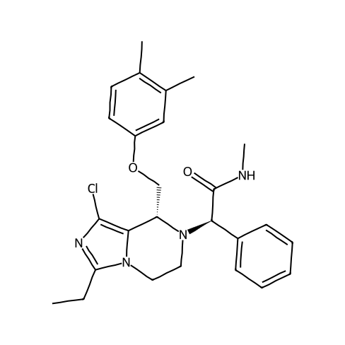 CCc1nc(Cl)c2n1CCN([C@@H](C(=O)NC)c1ccccc1)[C@H]2COc1ccc(C)c(C)c1